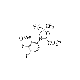 COc1c(N2CC(C(F)(F)F)(C(F)(F)F)OC2C(=O)O)ccc(F)c1F